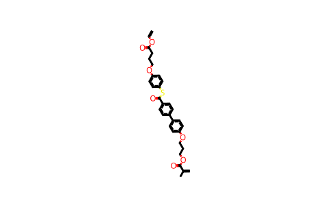 C=COC(=O)CCCOc1ccc(SC(=O)c2ccc(-c3ccc(OCCCOC(=O)C(=C)C)cc3)cc2)cc1